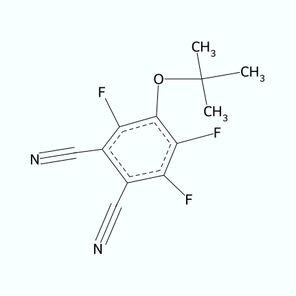 CC(C)(C)Oc1c(F)c(F)c(C#N)c(C#N)c1F